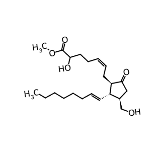 CCCCCC/C=C/[C@H]1[C@H](CO)CC(=O)[C@@H]1C/C=C\CCC(O)C(=O)OC